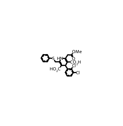 COC(=O)CC1=C(C(=O)O)C(c2cccc(Cl)c2Cl)C(C(=O)O)=C(CSc2ccccc2)N1